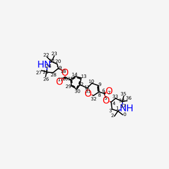 CC1(C)CC(OC(=O)C2=CCC(c3ccc(C(=O)OC4CC(C)(C)NC(C)(C)C4)cc3)OC2)CC(C)(C)N1